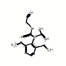 C#CCNC(=S)N(C(=N)N)c1c(CC)cccc1CC